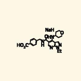 CCn1ncc2c(NC3CCOCC3)c(C(=O)NCc3ccc(C(=O)O)cc3)cnc21.[NaH]